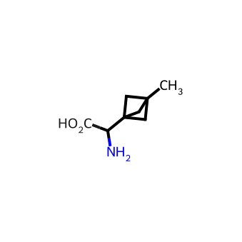 CC12CC(C(N)C(=O)O)(C1)C2